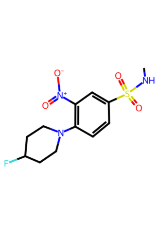 CNS(=O)(=O)c1ccc(N2CCC(F)CC2)c([N+](=O)[O-])c1